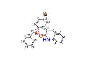 O=C1Nc2ccccc2CC1c1cc(Br)ccc1OCc1ccccc1